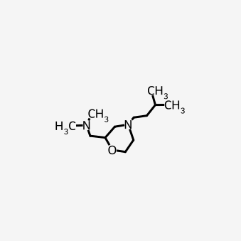 CC(C)CCN1CCOC(CN(C)C)C1